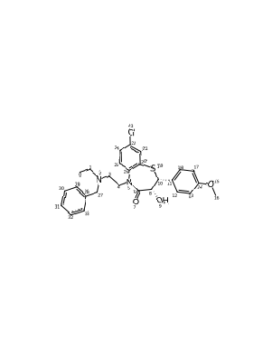 CCN(CCN1C(=O)[C@@H](O)[C@@H](c2ccc(OC)cc2)Sc2cc(Cl)ccc21)Cc1ccccc1